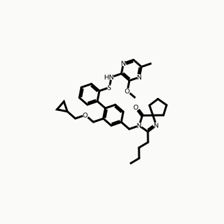 CCCCC1=NC2(CCCC2)C(=O)N1Cc1ccc(-c2ccccc2SNc2ncc(C)nc2OC)c(COCC2CC2)c1